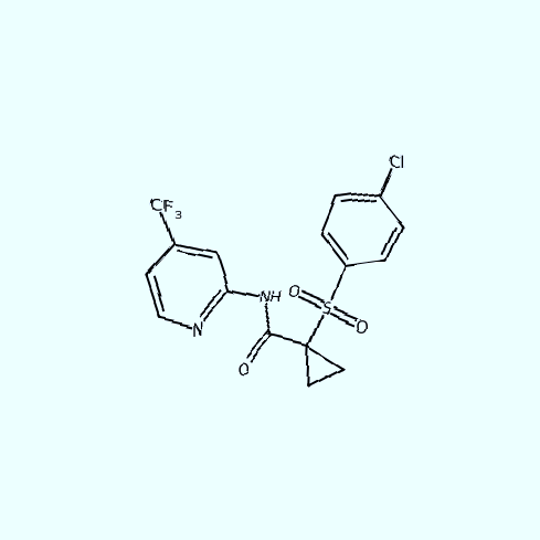 O=C(Nc1cc(C(F)(F)F)ccn1)C1(S(=O)(=O)c2ccc(Cl)cc2)CC1